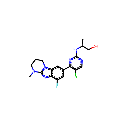 C[C@@H](CO)Nc1ncc(Cl)c(-c2cc(F)c3nc4n(c3c2)CCCN4C)n1